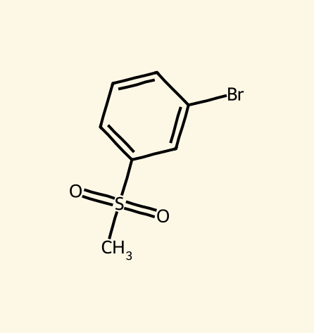 CS(=O)(=O)c1cccc(Br)c1